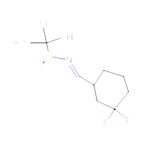 CC(C)(C)[S@+]([O-])N=CC1CCCC(F)(F)C1